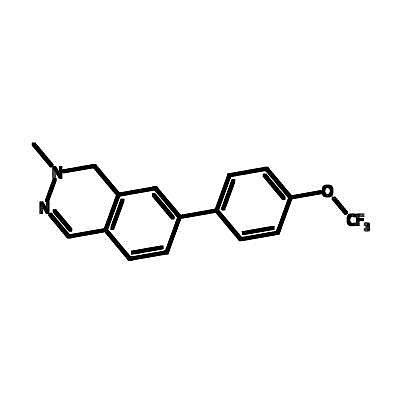 CN1Cc2cc(-c3ccc(OC(F)(F)F)cc3)ccc2C=N1